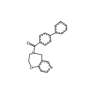 O=C(c1ccc(-c2ccccc2)cc1)N1CCOc2ccncc2C1